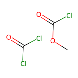 COC(=O)Cl.O=C(Cl)Cl